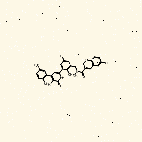 CN(Cc1cc(Cl)cc(-c2cc(-c3cc(C(F)(F)F)ccc3Cl)c(C#N)c(=O)[nH]2)c1O)C(=O)C1=Cc2cc(Cl)ccc2OC1